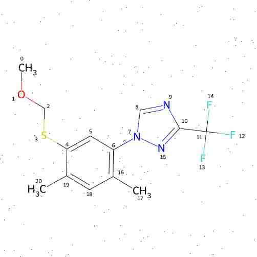 COCSc1cc(-n2cnc(C(F)(F)F)n2)c(C)cc1C